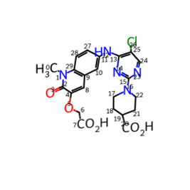 Cn1c(=O)c(OCC(=O)O)cc2cc(Nc3nc(N4CCC(C(=O)O)CC4)ncc3Cl)ccc21